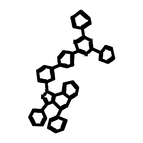 c1ccc(-c2nc(-c3ccccc3)nc(-c3ccc(-c4cccc(-n5nc(-c6ccccc6)c6c(-c7ccccc7)cc7ccccc7c65)c4)cc3)n2)cc1